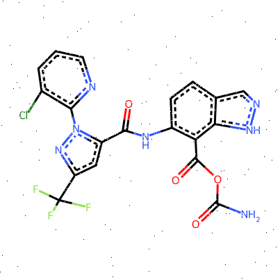 NC(=O)OC(=O)c1c(NC(=O)c2cc(C(F)(F)F)nn2-c2ncccc2Cl)ccc2cn[nH]c12